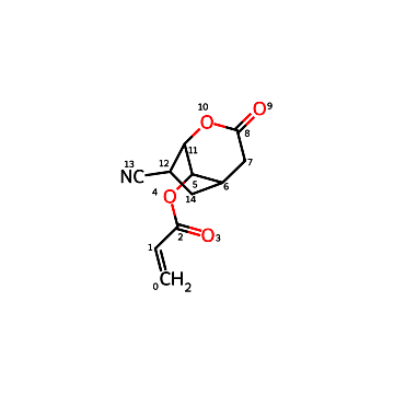 C=CC(=O)OC1C2CC(=O)OC1C(C#N)C2